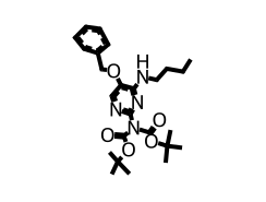 CCCCNc1nc(N(C(=O)OC(C)(C)C)C(=O)OC(C)(C)C)ncc1OCc1ccccc1